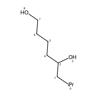 [CH2]C(C)CC(O)CCCCO